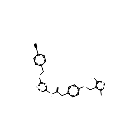 Cc1noc(C)c1COc1ccc(CC(=O)Nc2nnc(SCc3ccc(C#N)cc3)s2)cc1